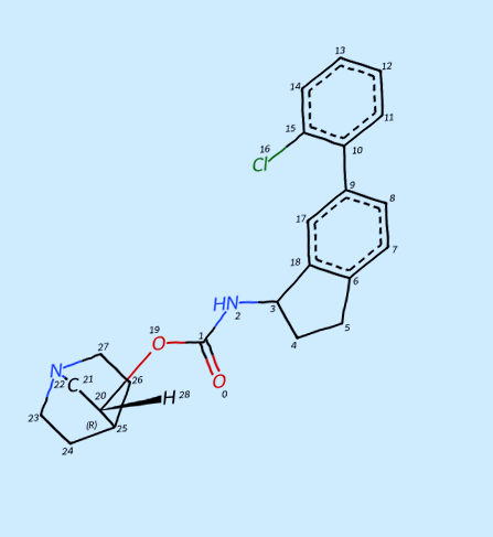 O=C(NC1CCc2ccc(-c3ccccc3Cl)cc21)O[C@H]1CN2CCC1CC2